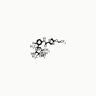 CN1C[C@@](C)(c2cc(NC(=O)c3cnc(OCC(F)(F)F)cn3)ccc2F)NC(=N)C(C)(C)S1(O)O